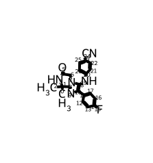 CC1(C)NC(=O)Cn2c1nc(-c1ccc(F)cc1)c2Nc1ccc(C#N)cc1